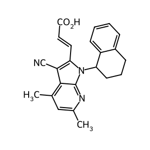 Cc1cc(C)c2c(C#N)c(/C=C/C(=O)O)n(C3CCCc4ccccc43)c2n1